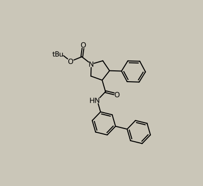 CC(C)(C)OC(=O)N1CC(C(=O)Nc2cccc(-c3ccccc3)c2)C(c2ccccc2)C1